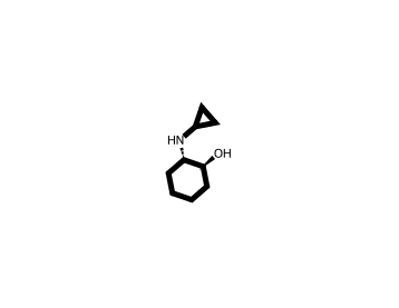 O[C@H]1CCCC[C@@H]1NC1CC1